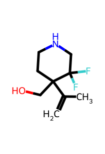 C=C(C)C1(CO)CCNCC1(F)F